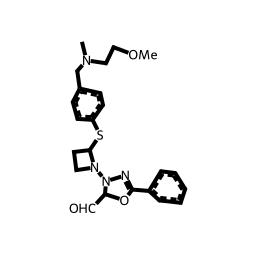 COCCN(C)Cc1ccc(SC2CCN2N2N=C(c3ccccc3)OC2C=O)cc1